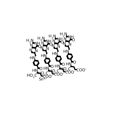 Nc1nc2ncc(CNc3ccc(C(=O)N[C@@H](CCC(=O)[O-])C(=O)O)cc3)nc2c(=O)[nH]1.Nc1nc2ncc(CNc3ccc(C(=O)N[C@@H](CCC(=O)[O-])C(=O)O)cc3)nc2c(=O)[nH]1.Nc1nc2ncc(CNc3ccc(C(=O)N[C@@H](CCC(=O)[O-])C(=O)O)cc3)nc2c(=O)[nH]1.Nc1nc2ncc(CNc3ccc(C(=O)N[C@@H](CCC(=O)[O-])C(=O)O)cc3)nc2c(=O)[nH]1.[Sn+4]